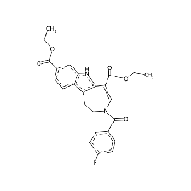 CCOC(=O)C1=CN(C(=O)c2ccc(F)cc2)CCc2c1[nH]c1cc(C(=O)OCC)ccc21